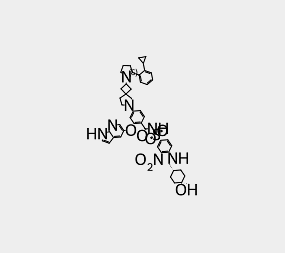 C[C@]1(O)CC[C@H](CNc2ccc(S(=O)(=O)NC(=O)c3ccc(N4CCC5(CC(N6CCC[C@H]6c6ccccc6C6CC6)C5)C4)cc3Oc3cnc4[nH]ccc4c3)cc2[N+](=O)[O-])CC1